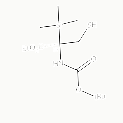 CCOC(=O)[C@](CS)(NC(=O)OC(C)(C)C)[Si](C)(C)C